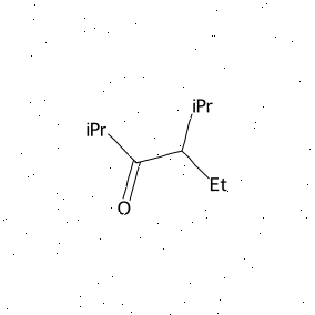 CCC(C(=O)C(C)C)C(C)C